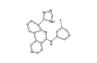 Fc1cccc(Nc2nc3c(-c4nnc[nH]4)cccc3c3cnccc23)c1